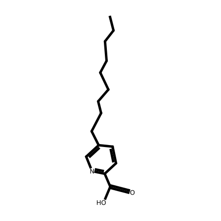 CCCCCCCCCc1ccc(C(=O)O)nc1